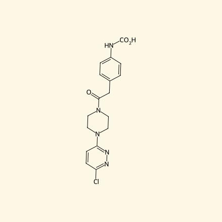 O=C(O)Nc1ccc(CC(=O)N2CCN(c3ccc(Cl)nn3)CC2)cc1